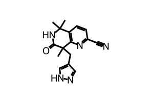 CC1(C)NC(=O)C(C)(Cc2cn[nH]c2)c2nc(C#N)ccc21